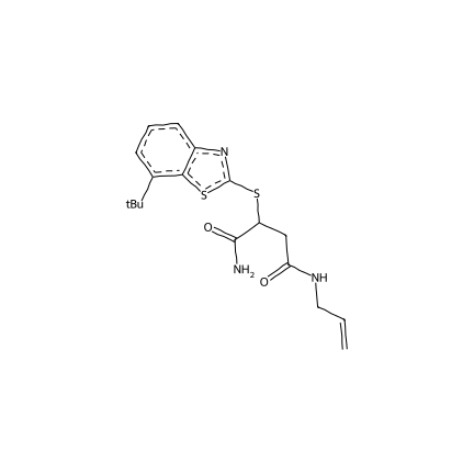 C=CCNC(=O)CC(Sc1nc2cccc(C(C)(C)C)c2s1)C(N)=O